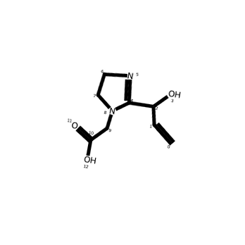 C=CC(O)C1=NCCN1CC(=O)O